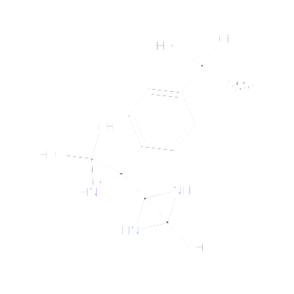 COC(C)(C)c1ccc(C2(C34NC3(C)N4)NC2(C)C)cc1